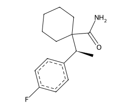 C[C@@H](c1ccc(F)cc1)C1(C(N)=O)CCCCC1